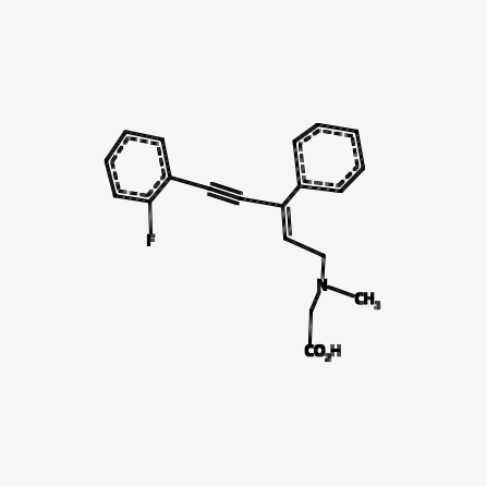 CN(CC=C(C#Cc1ccccc1F)c1ccccc1)CC(=O)O